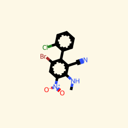 CNc1c([N+](=O)[O-])cc(Br)c(-c2ccccc2Cl)c1C#N